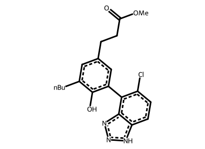 CCCCc1cc(CCC(=O)OC)cc(-c2c(Cl)ccc3[nH]nnc23)c1O